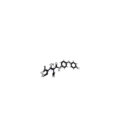 Cc1oncc1/C(O)=C(\C#N)C(=O)Nc1ccc(Sc2ccc(Cl)cc2)cc1